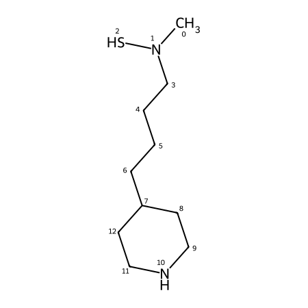 CN(S)CCCCC1CCNCC1